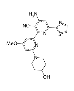 COc1cc(-c2nc(-c3nccs3)cc(N)c2C#N)nc(N2CCC(O)CC2)c1